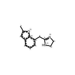 Cc1cc2cccc(CC3=NCCN3)c2o1